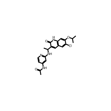 CC(=O)Nc1ccnc(NC(C)c2cc3cc(Cl)c(OC(C)C)cc3[nH]c2=O)c1